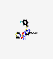 CSc1cc(NS(=O)(=O)N2CCSCC2)nc(SCc2cccc(F)c2F)n1